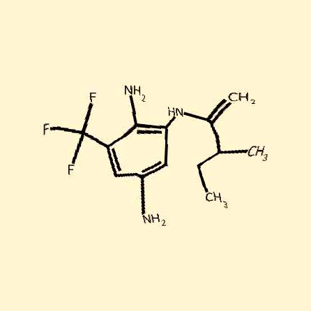 C=C(Nc1cc(N)cc(C(F)(F)F)c1N)C(C)CC